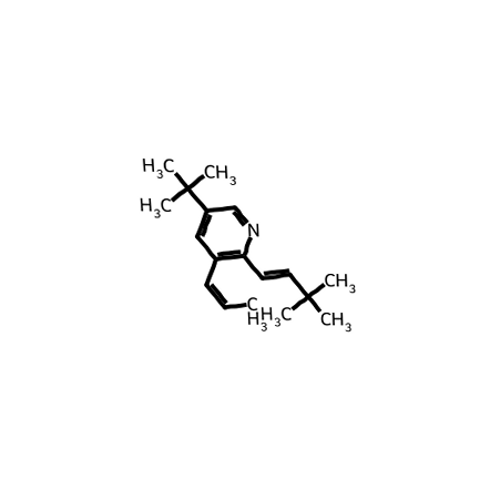 C/C=C\c1cc(C(C)(C)C)cnc1/C=C/C(C)(C)C